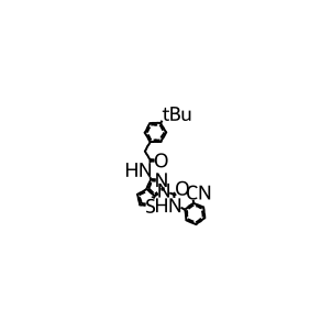 CC(C)(C)c1ccc(CC(=O)Nc2nn(C(=O)Nc3ccccc3C#N)c3sccc23)cc1